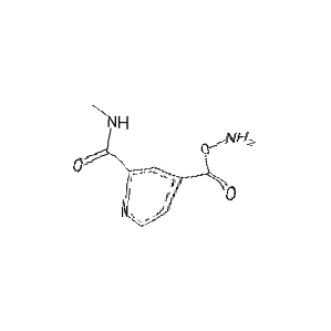 CNC(=O)c1cc(C(=O)ON)ccn1